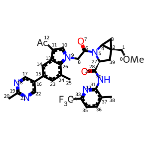 COC[C@]12CC1N(C(=O)Cn1cc(C(C)=O)c3cc(-c4cnc(C)nc4)cc(C)c31)[C@H](C(=O)Nc1nc(C(F)(F)F)ccc1C)C2